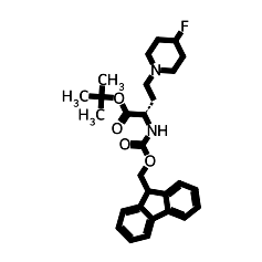 CC(C)(C)OC(=O)[C@H](CCN1CCC(F)CC1)NC(=O)OCC1c2ccccc2-c2ccccc21